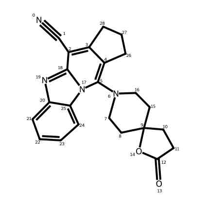 N#Cc1c2c(c(N3CCC4(CCC(=O)O4)CC3)n3c1nc1ccccc13)CCC2